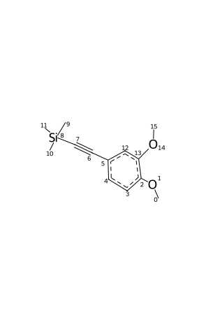 COc1ccc(C#C[Si](C)(C)C)cc1OC